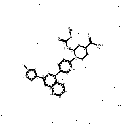 COC(=O)C1CCN(c2ccc(-c3nc(-c4cnn(C)c4)cc4ncccc34)cn2)C(NC(=O)OC(C)(C)C)C1